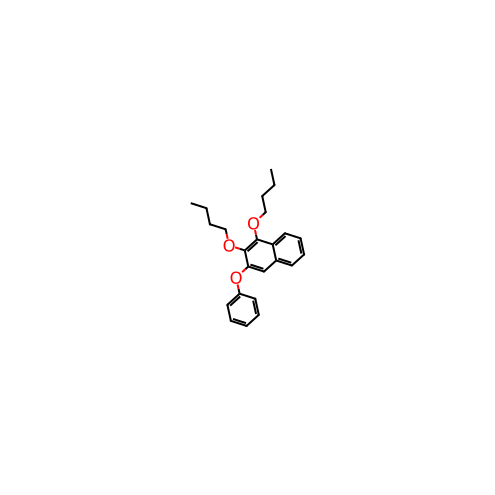 CCCCOc1c(Oc2ccccc2)cc2ccccc2c1OCCCC